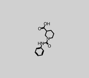 O=C(O)C1CCCN(C(=O)Nc2ccccc2)C1